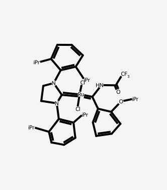 CC(C)Oc1ccccc1[C](NC(=O)C(F)(F)F)=[Ru]([Cl])([Cl])=[C]1N(c2c(C(C)C)cccc2C(C)C)CCN1c1c(C(C)C)cccc1C(C)C